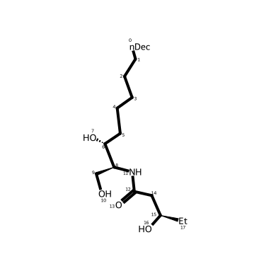 CCCCCCCCCCCCCCC[C@@H](O)[C@H](CO)NC(=O)C[C@H](O)CC